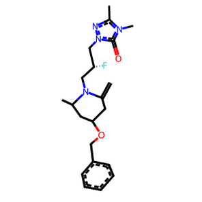 C=C1CC(OCc2ccccc2)CC(C)N1C[C@@H](F)Cn1nc(C)n(C)c1=O